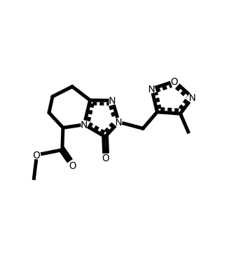 COC(=O)C1CCCc2nn(Cc3nonc3C)c(=O)n21